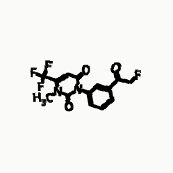 Cn1c(C(F)(F)F)cc(=O)n(-c2cccc(C(=O)CF)c2)c1=O